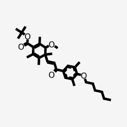 CCCCCCOc1c(C)cc(C(=O)C=CC2(C)C(C)=C(C)C(C(=O)OC(C)(C)C)=C(C)C2OC)cc1C